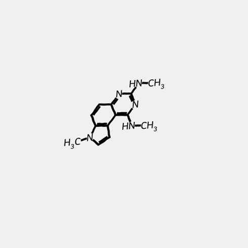 CNc1nc(NC)c2c(ccc3c2ccn3C)n1